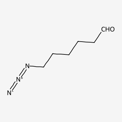 [N-]=[N+]=NCCCCCC=O